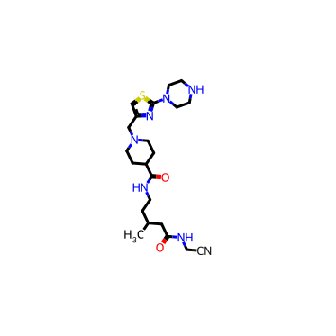 CC(CCNC(=O)C1CCN(Cc2csc(N3CCNCC3)n2)CC1)CC(=O)NCC#N